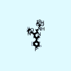 CC(C)(C)OC(=O)NCc1ncc(-c2ccc(F)cc2)cc1-c1ncco1